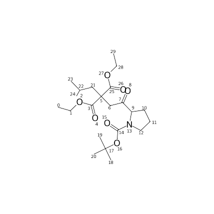 CCOC(=O)C(CC(=O)C1CCCN1C(=O)OC(C)(C)C)(CC(C)C)C(=O)OCC